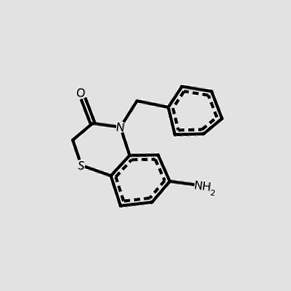 Nc1ccc2c(c1)N(Cc1ccccc1)C(=O)CS2